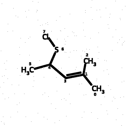 CC(C)=CC(C)SCl